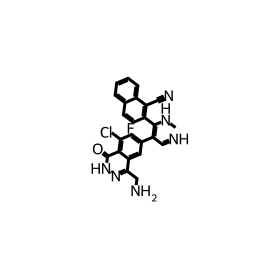 CN/C(=C(\C=N)c1cc(Cl)c2c(=O)[nH]nc(CN)c2c1)c1c(F)cc2ccccc2c1C#N